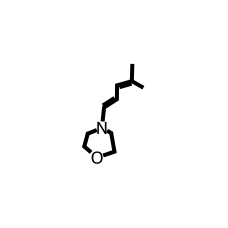 CC(C)=CC=CN1CCOCC1